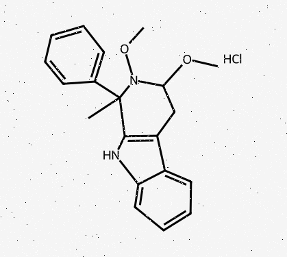 COC1Cc2c([nH]c3ccccc23)C(C)(c2ccccc2)N1OC.Cl